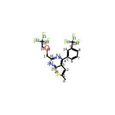 Cc1cc2c(-c3cccc(C(F)(F)F)c3)nc(COCC(F)(F)F)nc2s1